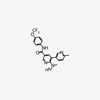 CCCN(C)c1ncc(C(=O)Nc2ccc(OC(F)(F)F)cc2)cc1-c1ccc(C)nc1